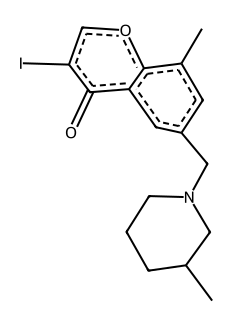 Cc1cc(CN2CCCC(C)C2)cc2c(=O)c(I)coc12